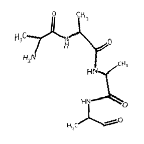 CC([C]=O)NC(=O)C(C)NC(=O)C(C)NC(=O)C(C)N